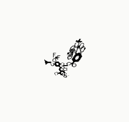 COc1ccc(C(=O)OCC(=O)OC(Cc2c(Cl)c[n+]([O-])cc2Cl)c2ccc(OC(F)F)c(OCC3CC3)c2)cc1N(C(=O)OC(C)(C)C)S(C)(=O)=O